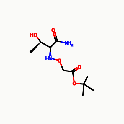 C[C@@H](O)[C@H](NOCC(=O)OC(C)(C)C)C(N)=O